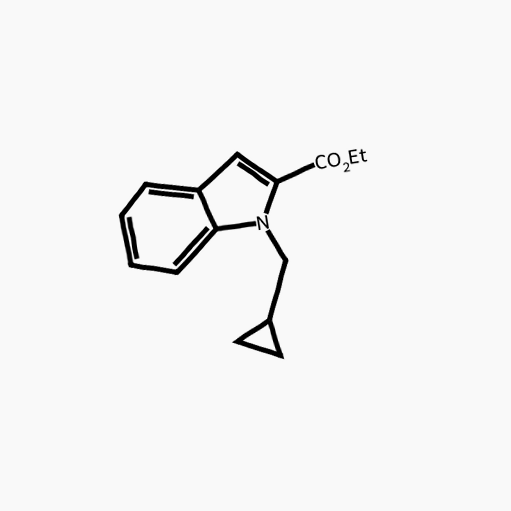 CCOC(=O)c1cc2ccccc2n1CC1CC1